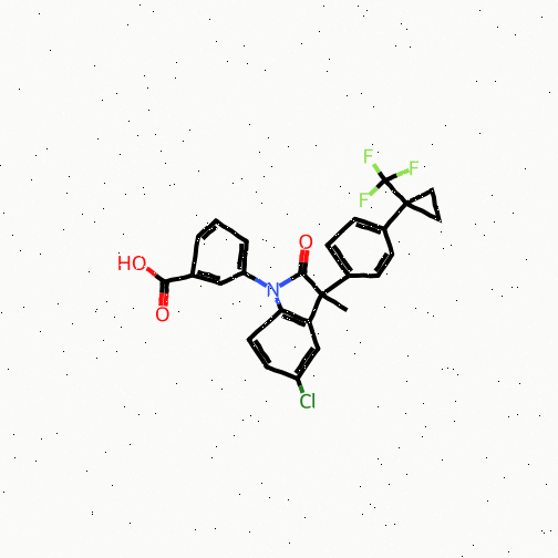 CC1(c2ccc(C3(C(F)(F)F)CC3)cc2)C(=O)N(c2cccc(C(=O)O)c2)c2ccc(Cl)cc21